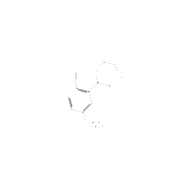 COc1ccc(C(C)C)c(C2COCCO2)c1